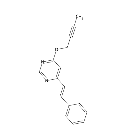 CC#CCOc1cc(C=Cc2ccccc2)ncn1